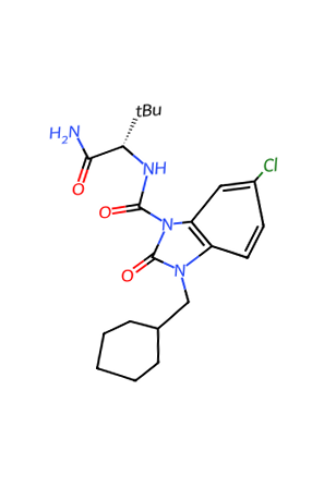 CC(C)(C)[C@H](NC(=O)n1c(=O)n(CC2CCCCC2)c2ccc(Cl)cc21)C(N)=O